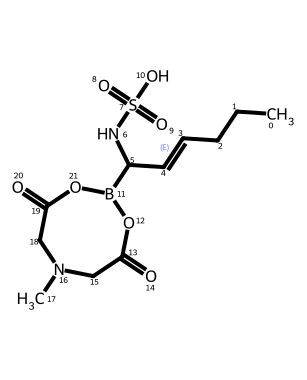 CCC/C=C/C(NS(=O)(=O)O)B1OC(=O)CN(C)CC(=O)O1